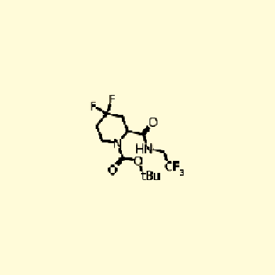 CC(C)(C)OC(=O)N1CCC(F)(F)CC1C(=O)NCC(F)(F)F